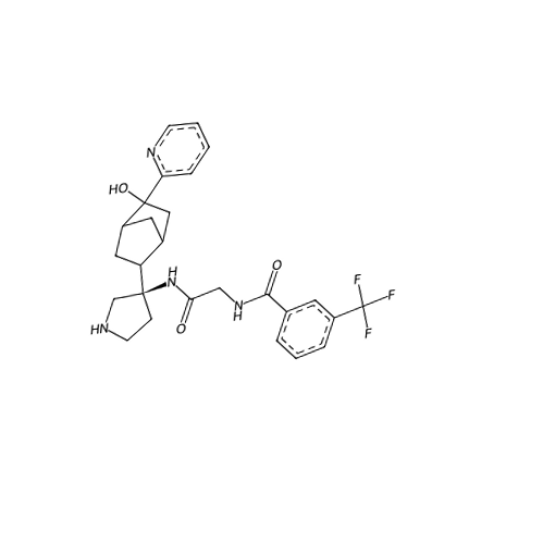 O=C(CNC(=O)c1cccc(C(F)(F)F)c1)N[C@@]1(C2CC3CC2CC3(O)c2ccccn2)CCNC1